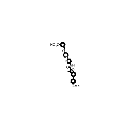 COc1ccc(-c2ccc3oc(C(=O)Nc4ccc(N5CCC(OCc6cccc(C(=O)O)c6)CC5)nc4)c(C)c3c2)cc1